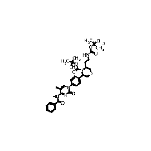 CC(C)(C)OC(=O)NCCC1COCC(c2ccc(-n3cc(I)c(NC(=O)c4ccccc4)nc3=O)cc2)N1C(=O)OC(C)(C)C